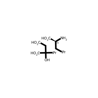 CC(C)C(O)(CC(=O)O)C(=O)O.CC(C)C[C@H](N)C(=O)O